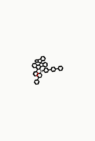 C1=C=C(c2c(N(C3=CC=C(c4ccccc4)CC3)c3ccc(-c4ccc(-c5ccccc5)cc4)cc3)c3c(c4ccccc24)C2(c4ccccc4-c4ccccc42)c2ccccc2-3)C=CC=1